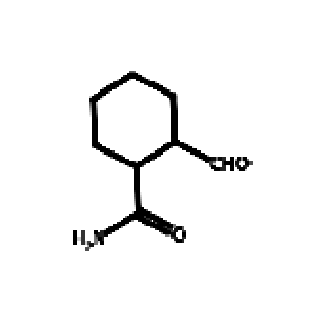 NC(=O)C1CCCCC1[C]=O